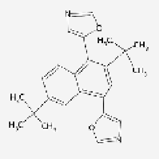 CC(C)(C)c1ccc2c(-c3cnco3)c(C(C)(C)C)cc(-c3cnco3)c2c1